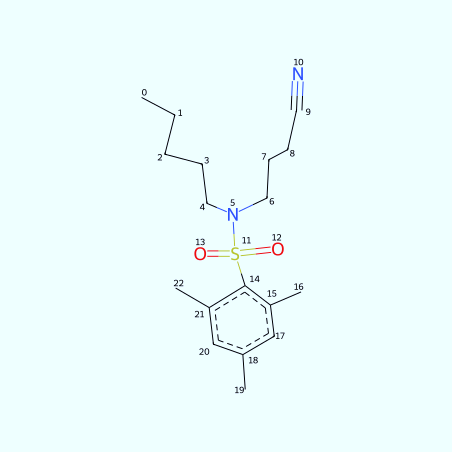 CCCCCN(CCCC#N)S(=O)(=O)c1c(C)cc(C)cc1C